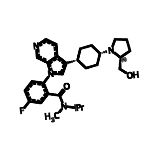 CC(C)N(C)C(=O)c1cc(F)ccc1-n1cc([C@H]2CC[C@@H](N3CCC[C@H]3CO)CC2)c2ccncc21